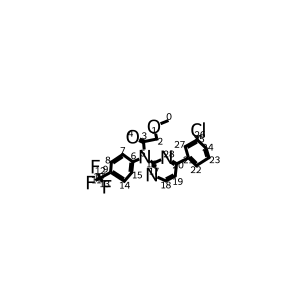 COCC(=O)N(c1ccc(C(F)(F)F)cc1)c1nccc(-c2cccc(Cl)c2)n1